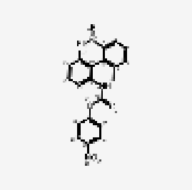 CCN(CC)c1cccc(C)c1-c1c(C)cccc1NC(=O)Oc1ccc([N+](=O)[O-])cc1